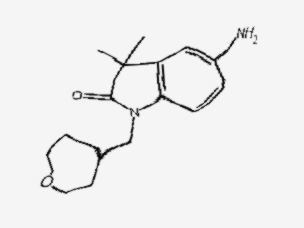 CC1(C)C(=O)N(CC2CCOCC2)c2ccc(N)cc21